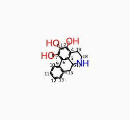 Oc1c(O)c2c3c(c1O)-c1ccccc1CC3NCC2